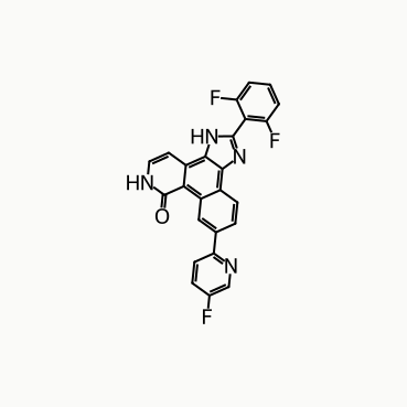 O=c1[nH]ccc2c3[nH]c(-c4c(F)cccc4F)nc3c3ccc(-c4ccc(F)cn4)cc3c12